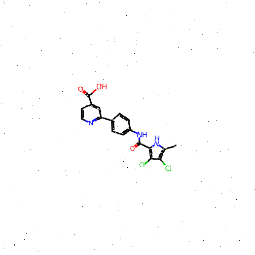 Cc1[nH]c(C(=O)Nc2ccc(-c3cc(C(=O)O)ccn3)cc2)c(Cl)c1Cl